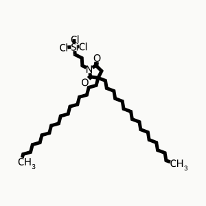 CCCCCCCCCCCCCCCCCC1(CCCCCCCCCCCCCCCCC)CC(=O)N(CCC[Si](Cl)(Cl)Cl)C1=O